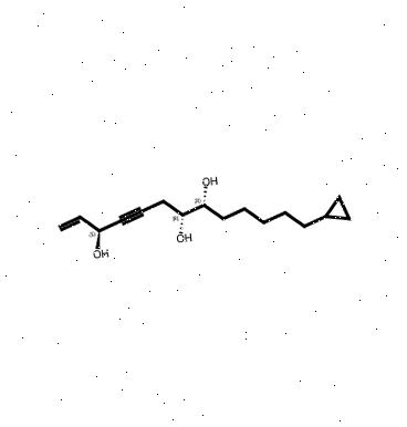 C=C[C@H](O)C#CC[C@@H](O)[C@H](O)CCCCCC1CC1